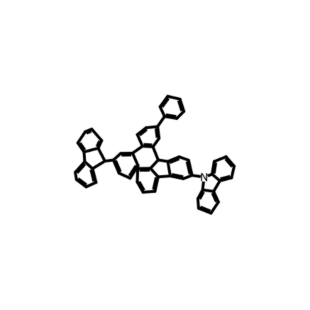 c1ccc(-c2ccc(-c3cccc(C4c5ccccc5-c5ccccc54)c3)c(C3c4ccccc4-c4cc(-n5c6ccccc6c6ccccc65)ccc43)c2)cc1